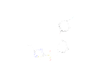 CNc1nsc(S(=O)(=O)Cc2cccc(Oc3ccc(F)cc3)c2)n1